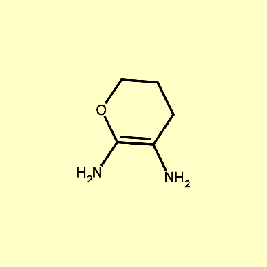 NC1=C(N)OCCC1